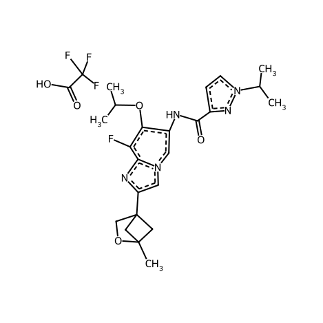 CC(C)Oc1c(NC(=O)c2ccn(C(C)C)n2)cn2cc(C34COC(C)(C3)C4)nc2c1F.O=C(O)C(F)(F)F